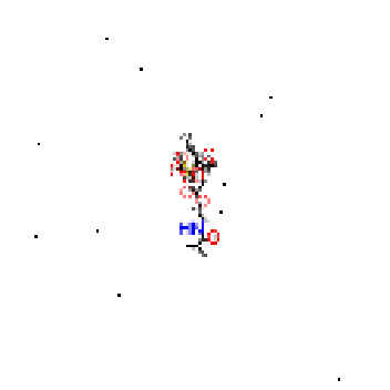 C=C(C)C(=O)NCCOC(=O)COC1C2CC3C(O2)C1(C)OS3(=O)=O